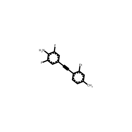 CCc1cc(C)ccc1C#Cc1cc(F)c(N)c(F)c1